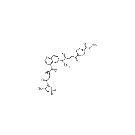 CN(C(=O)CCC(=O)N1CCN(C(=O)OC(C)(C)C)CC1)c1ccc2nccc(C(=O)NCC(=O)N3CC(F)(F)C[C@H]3C#N)c2c1